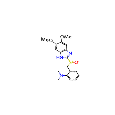 COc1cc2nc([S+]([O-])Cc3ccccc3N(C)C)[nH]c2cc1OC